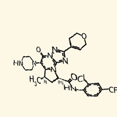 C[C@@H]1C[C@H](C(=O)Nc2ccc(C(F)(F)F)cc2Cl)n2c1c(N1CCNCC1)c(=O)n1nc(C3=CCOCC3)nc21